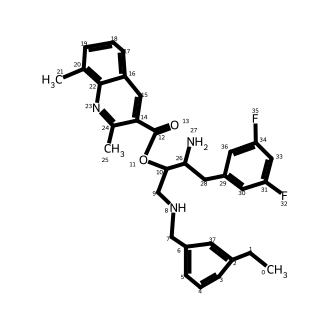 CCc1cccc(CNCC(OC(=O)c2cc3cccc(C)c3nc2C)C(N)Cc2cc(F)cc(F)c2)c1